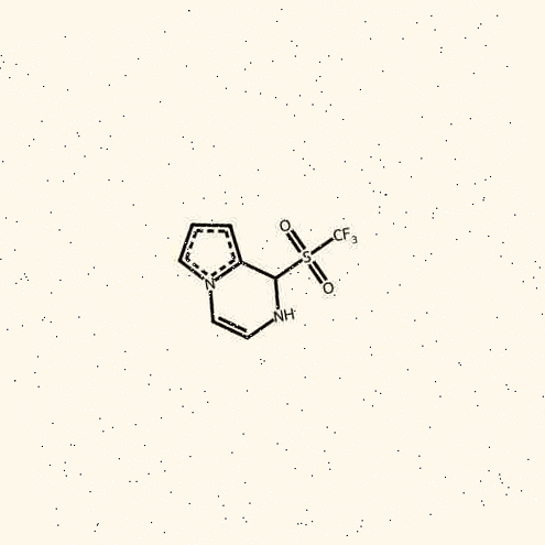 O=S(=O)(C1NC=Cn2cccc21)C(F)(F)F